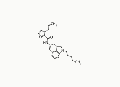 C=CCc1ccoc1C(=O)NC1=Cc2cccc3c2C(C1)CN3CCCCC